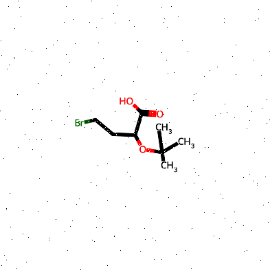 CC(C)(C)OC(CCBr)C(=O)O